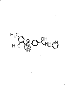 Cc1ccc(N(CC(C)C)S(=O)(=O)c2ccc(C(O)CNCc3cccnc3)cc2)c(C)c1